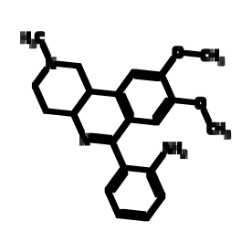 COc1cc2c(cc1OC)C1CN(C)CCC1N=C2c1ccccc1N